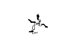 CC(=O)O.CCCON(OCCC)OCCC